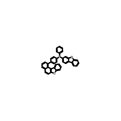 c1ccc(N(c2ccc(-c3cccc4ccc5oc6ccccc6c5c34)cc2)c2ccc3c(c2)oc2ccccc23)cc1